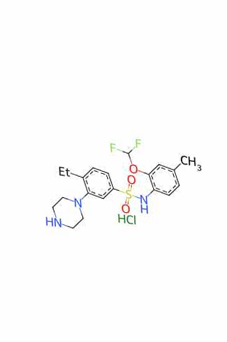 CCc1ccc(S(=O)(=O)Nc2ccc(C)cc2OC(F)F)cc1N1CCNCC1.Cl